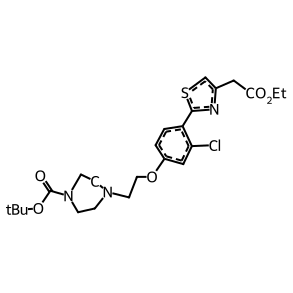 CCOC(=O)Cc1csc(-c2ccc(OCCN3CCN(C(=O)OC(C)(C)C)CC3)cc2Cl)n1